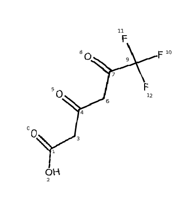 O=C(O)CC(=O)CC(=O)C(F)(F)F